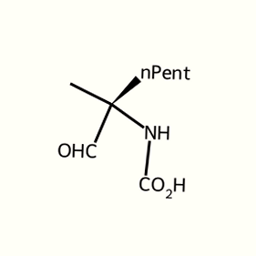 CCCCC[C@](C)(C=O)NC(=O)O